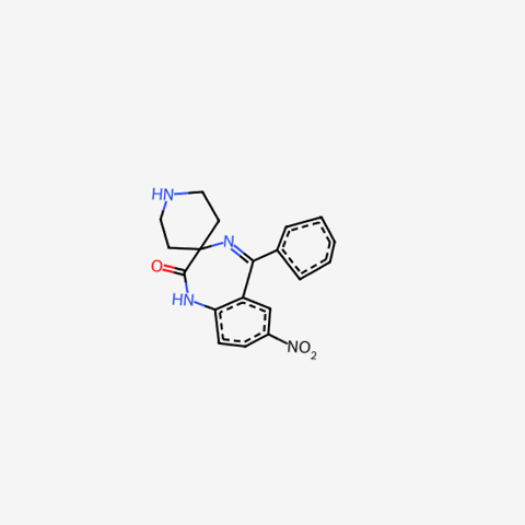 O=C1Nc2ccc([N+](=O)[O-])cc2C(c2ccccc2)=NC12CCNCC2